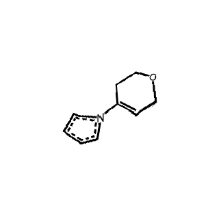 C1=C(n2cccc2)CCOC1